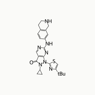 CC(C)(C)c1csc(-n2c3nc(Nc4ccc5c(c4)CNCC5)ncc3c(=O)n2C2CC2)n1